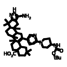 CC1(C)CCC2(C(=O)O)CCC3(C)C(=C(c4ccc(N5CCC(NC(=O)OC(C)(C)C)CC5)nc4)CC4C5(C)Cc6c(n[nH]c6N)C(C)(C)C5CCC43C)C2C1